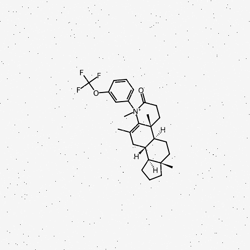 CC1=C2[C@](C)(CCC(=O)[N+]2(C)c2cccc(OC(F)(F)F)c2)[C@H]2CC[C@]3(C)CCC[C@H]3[C@@H]2C1